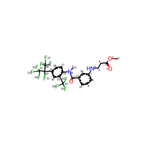 COC(=O)CCNc1cccc(C(=O)N(I)c2ccc(C(F)(C(F)(F)F)C(F)(F)F)cc2C(F)(F)F)c1